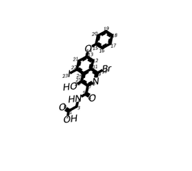 O=C(O)CNC(=O)c1nc(Br)c2cc(Oc3ccccc3)cc(I)c2c1O